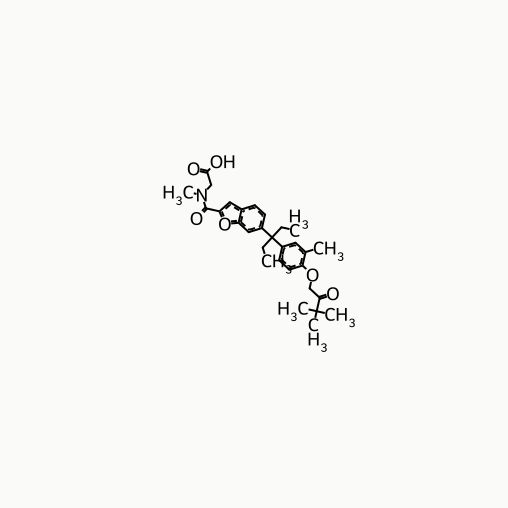 CCC(CC)(c1ccc(OCC(=O)C(C)(C)C)c(C)c1)c1ccc2cc(C(=O)N(C)CC(=O)O)oc2c1